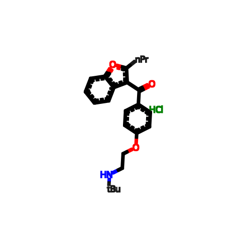 CCCc1oc2ccccc2c1C(=O)c1ccc(OCCNC(C)(C)C)cc1.Cl